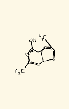 Cc1nc(O)c2c(C)ccn2n1